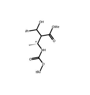 COC(=O)C(C(O)C(C)C)[C@@H](C)NC(=O)OC(C)(C)C